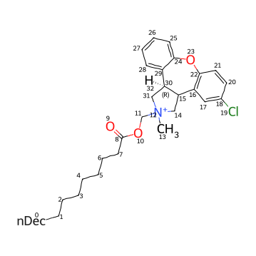 CCCCCCCCCCCCCCCCCC(=O)OC[N+]1(C)CC2c3cc(Cl)ccc3Oc3ccccc3[C@@H]2C1